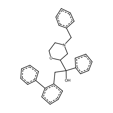 OC(Cc1ccccc1-c1ccccc1)(c1ccccc1)C1CN(Cc2ccccc2)CCO1